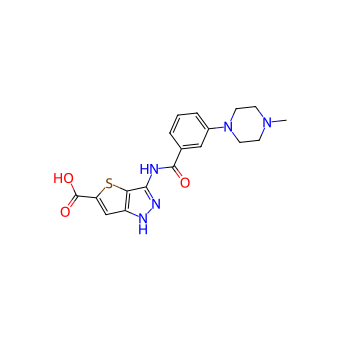 CN1CCN(c2cccc(C(=O)Nc3n[nH]c4cc(C(=O)O)sc34)c2)CC1